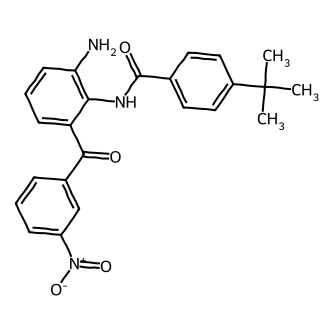 CC(C)(C)c1ccc(C(=O)Nc2c(N)cccc2C(=O)c2cccc([N+](=O)[O-])c2)cc1